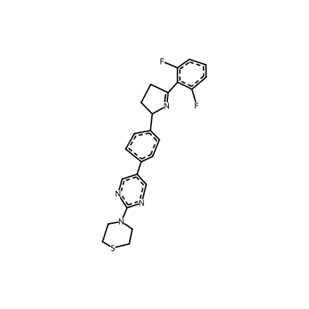 Fc1cccc(F)c1C1=NC(c2ccc(-c3cnc(N4CCSCC4)nc3)cc2)CC1